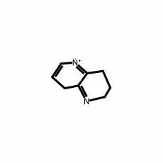 C1=C[N+]=C2CCCN=C2C1